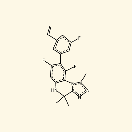 C=Cc1cc(F)cc(-c2c(F)cc3c(c2F)-n2c(C)nnc2C(C)(C)N3)c1